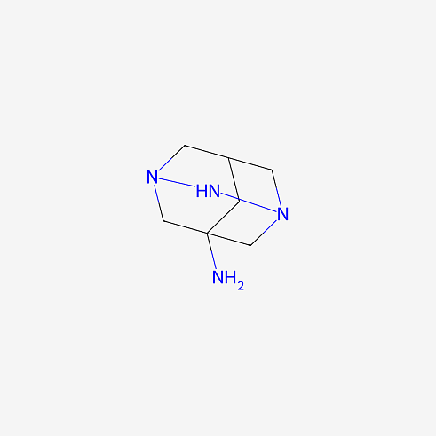 NC12CC3CN(C1)NN(C3)C2